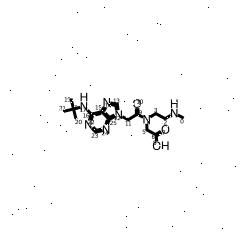 CNCCN(CC(=O)O)C(=O)Cn1cnc2c(NC(C)(C)C)ncnc21